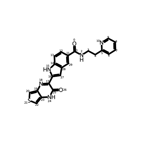 O=C(NCCc1ccccn1)c1ccc2[nH]c(-c3nc4cscc4[nH]c3=O)cc2c1